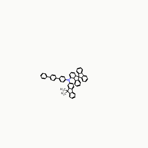 CC1(C)c2ccccc2-c2ccc(N(C3=CC=CC4C3c3ccccc3C43c4ccccc4-c4ccccc43)c3ccc(-c4ccc(-c5ccccc5)cc4)cc3)cc21